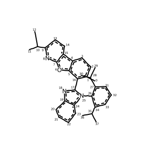 Cc1ccc2c(oc3nc(C(C)C)ccc32)c1-c1nc2ccccc2n1-c1c(C(C)C)cccc1C(C)C